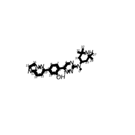 CN(c1ncc(-c2ccc(-c3ccc4nccn4n3)cc2O)nn1)C1CC(C)(C)NC(C)(C)C1